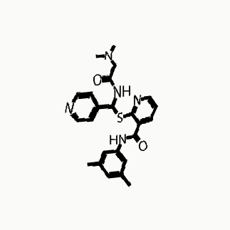 Cc1cc(C)cc(NC(=O)c2cccnc2SC(NC(=O)CN(C)C)c2ccncc2)c1